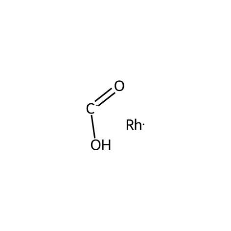 O=[C-]O.[Rh]